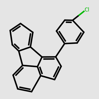 Clc1ccc(-c2ccc3cccc4c3c2-c2ccccc2-4)cc1